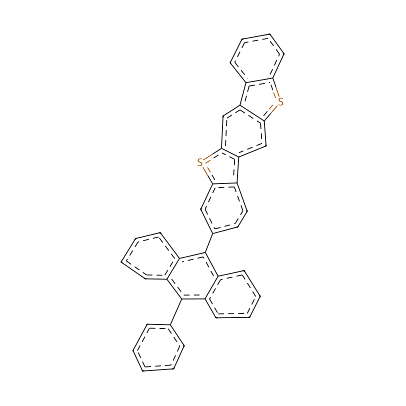 c1ccc(-c2c3ccccc3c(-c3ccc4c(c3)sc3cc5c(cc34)sc3ccccc35)c3ccccc23)cc1